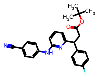 CC(C)(C)OC(=O)CC(c1ccc(F)cc1)c1cccc(Nc2ccc(C#N)cc2)n1